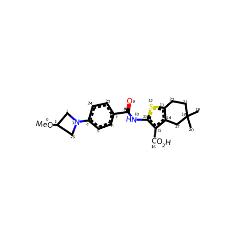 COC1CN(c2ccc(C(=O)Nc3sc4c(c3C(=O)O)CC(C)(C)CC4)cc2)C1